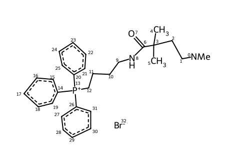 CNCCC(C)(C)C(=O)NCCCC[P+](c1ccccc1)(c1ccccc1)c1ccccc1.[Br-]